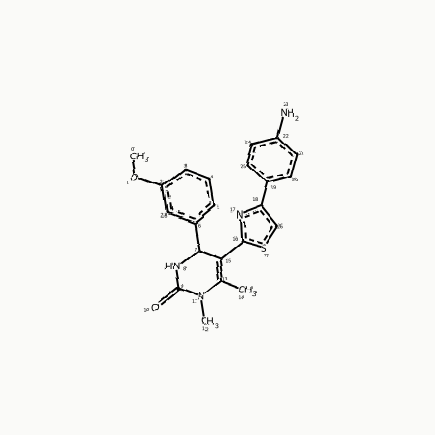 COc1cccc(C2NC(=O)N(C)C(C)=C2c2nc(-c3ccc(N)cc3)cs2)c1